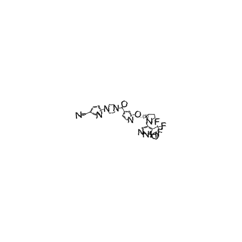 N#Cc1ccc(N2CCN(C(=O)c3ccnc(OC[C@@H]4CCCN4c4cn[nH]c(=O)c4C(F)(F)F)c3)CC2)nc1